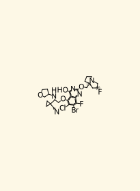 N#CC1(C(COc2c(Cl)c(Br)c(F)c3nc(OC[C@@]45CCCN4C[C@H](F)C5)nc(O)c23)NC2CCOC2)CC1